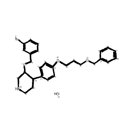 Brc1cccc(COC2CNCCC2c2ccc(OCCCOCc3ccccc3)cc2)c1.Cl